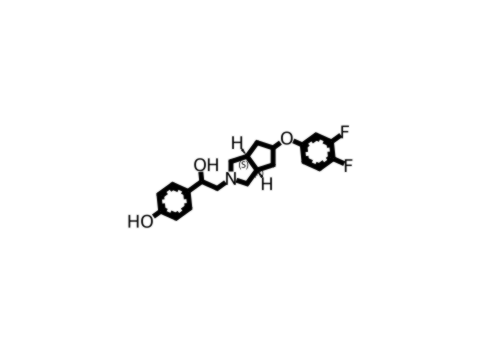 Oc1ccc(C(O)CN2C[C@H]3CC(Oc4ccc(F)c(F)c4)C[C@H]3C2)cc1